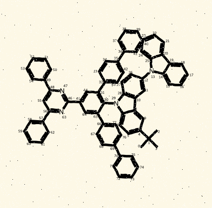 CC(C)(C)c1ccc2c(c1)c1cc(-n3c4ccccc4c4ccccc43)ccc1n2-c1c(-c2ccc(-c3ccccc3)cc2)cc(-c2nc(-c3ccccc3)cc(-c3ccccc3)n2)cc1-c1ccc(-c2ccccc2)cc1